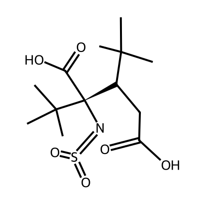 CC(C)(C)C(CC(=O)O)[C@](N=S(=O)=O)(C(=O)O)C(C)(C)C